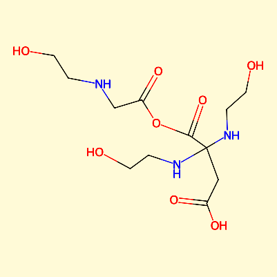 O=C(O)CC(NCCO)(NCCO)C(=O)OC(=O)CNCCO